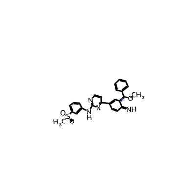 CO/C(=C1/C=C(c2ccnc(Nc3cccc(S(C)(=O)=O)c3)n2)C=CC1=N)c1ccccc1